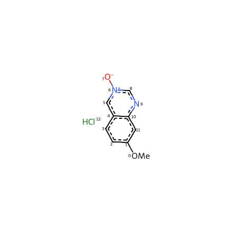 COc1ccc2c[n+]([O-])cnc2c1.Cl